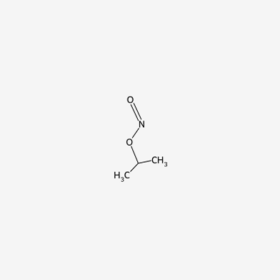 CC(C)ON=O